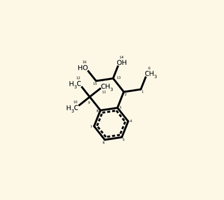 CC[C](c1ccccc1C(C)(C)C)C(O)CO